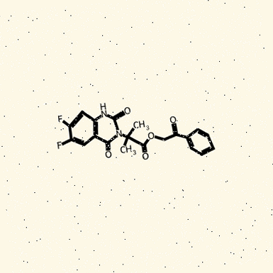 CC(C)(C(=O)OCC(=O)c1ccccc1)n1c(=O)[nH]c2cc(F)c(F)cc2c1=O